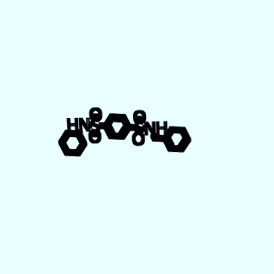 O=S(=O)(NCC1=CC=CCC1)c1ccc(S(=O)(=O)NC2CCCCC2)cc1